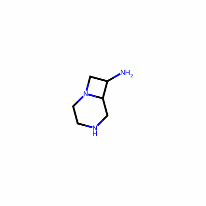 NC1CN2CCNCC12